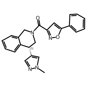 Cn1cc([C@H]2CN(C(=O)c3cc(-c4ccccc4)on3)Cc3ccccc32)cn1